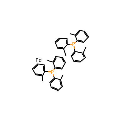 Cc1ccccc1P(c1ccccc1C)c1ccccc1C.Cc1ccccc1P(c1ccccc1C)c1ccccc1C.[Pd]